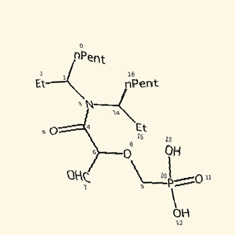 CCCCCC(CC)N(C(=O)C(C=O)OCP(=O)(O)O)C(CC)CCCCC